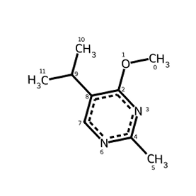 COc1nc(C)ncc1C(C)C